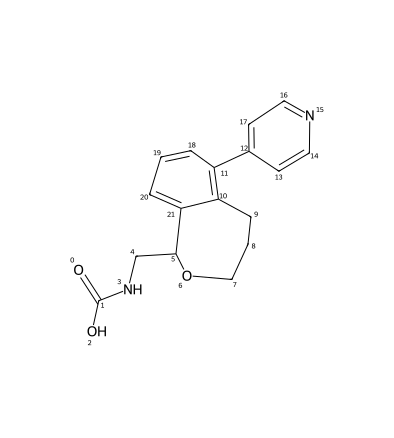 O=C(O)NCC1OCCCc2c(-c3ccncc3)cccc21